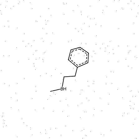 CBCCc1ccccc1